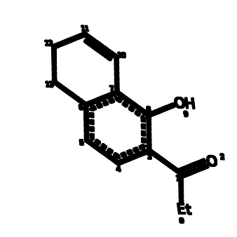 CCC(=O)c1ccc2c(c1O)C=CCC2